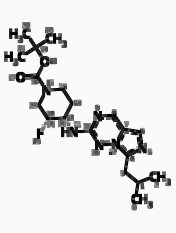 CC(C)Cc1ncc2cnc(N[C@H]3CCN(C(=O)OC(C)(C)C)C[C@H]3F)nn12